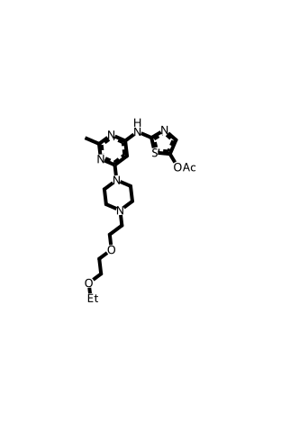 CCOCCOCCN1CCN(c2cc(Nc3ncc(OC(C)=O)s3)nc(C)n2)CC1